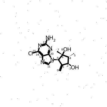 C=C1[C@H](O)[C@@H](C)[C@@](C)(O)[C@@H]1n1cnc2c(Cl)nc(N)nc21